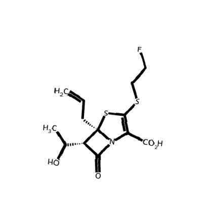 C=CC[C@]12SC(SCCF)=C(C(=O)O)N1C(=O)[C@@H]2C(C)O